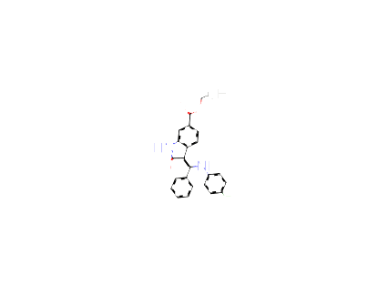 CCOC(=O)c1ccc2c(c1)NC(=O)C2=C(Nc1ccc(F)cc1)c1ccccc1